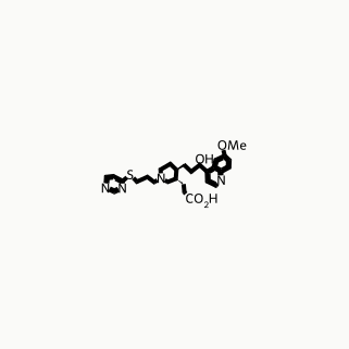 COc1ccc2nccc([C@H](O)CC[C@@H]3CCN(CCCSc4ccncn4)C[C@H]3CCC(=O)O)c2c1